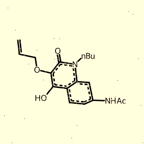 C=CCOc1c(O)c2ccc(NC(C)=O)cc2n(CCCC)c1=O